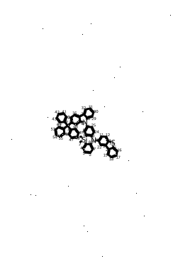 C[Si]1(C)c2ccccc2N(c2ccc3sc4ccccc4c3c2)c2ccc(-n3c4ccccc4c4ccc(C(c5ccccc5)(c5ccccc5)c5ccccc5)cc43)cc21